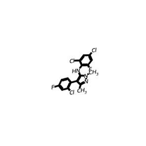 Cc1nn(C)c(Nc2c(F)cc(Cl)cc2Cl)c1-c1ccc(F)cc1Cl